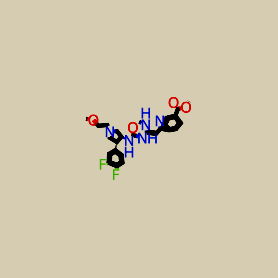 CN/C(=C\C1=Nc2cc1ccc2C(=O)OC)NC(=O)N[C@@H]1CN(CCOC)C[C@H]1c1ccc(F)c(F)c1